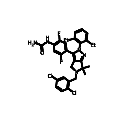 CCc1cccc(CC)c1-n1nc2c(c1-c1cc(F)c(NC(N)=O)cc1F)CN(Cc1cc(Cl)ccc1Cl)C2(C)C